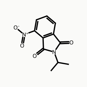 CC(C)N1C(=O)c2cccc([N+](=O)[O-])c2C1=O